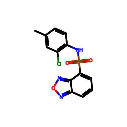 Cc1ccc(NS(=O)(=O)c2cccc3nonc23)c(Cl)c1